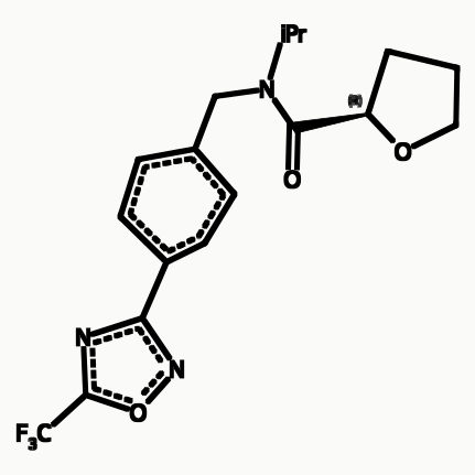 CC(C)N(Cc1ccc(-c2noc(C(F)(F)F)n2)cc1)C(=O)[C@H]1CCCO1